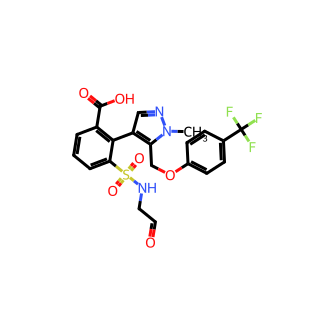 Cn1ncc(-c2c(C(=O)O)cccc2S(=O)(=O)NCC=O)c1COc1ccc(C(F)(F)F)cc1